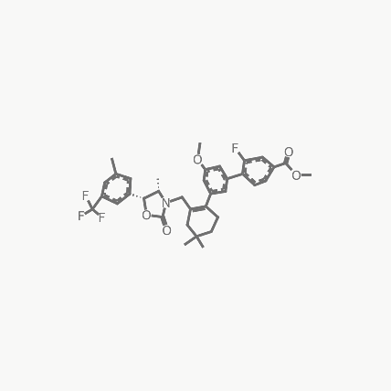 COC(=O)c1ccc(-c2cc(OC)cc(C3=C(CN4C(=O)O[C@H](c5cc(C)cc(C(F)(F)F)c5)[C@@H]4C)CC(C)(C)CC3)c2)c(F)c1